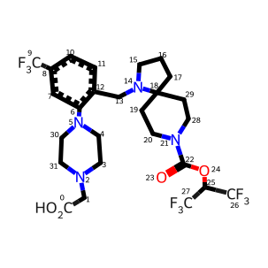 O=C(O)CN1CCN(c2cc(C(F)(F)F)ccc2CN2CCCC23CCN(C(=O)OC(C(F)(F)F)C(F)(F)F)CC3)CC1